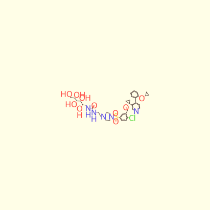 O=C(NCCN1CCN(S(=O)(=O)c2ccc(Cl)c(COC3(c4cnccc4-c4ccccc4OC4CC4)CC3)c2)CC1)NCC(O)C(O)C(O)C(O)CO